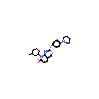 CC1CCCC(n2c(=O)ccc3cnc(Nc4ccc(N5CCCCC5)cc4)nc32)C1